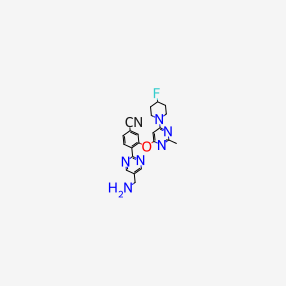 Cc1nc(Oc2cc(C#N)ccc2-c2ncc(CN)cn2)cc(N2CCC(F)CC2)n1